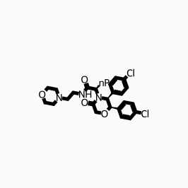 CCC[C@H](C(=O)NCCN1CCOCC1)N1C(=O)CO[C@H](c2ccc(Cl)cc2)[C@@H]1c1ccc(Cl)cc1